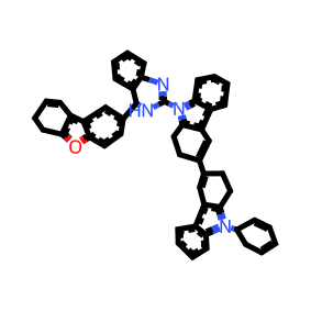 C1=CCC(n2c3c(c4ccccc42)C=C(C2=Cc4c(n(C5=Nc6ccccc6C(c6ccc7oc8c(c7c6)C=CCC8)N5)c5ccccc45)CC2)CC3)C=C1